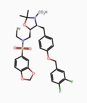 CC(C)CN(C[C@H]1OC(C)(C)N(C(=O)O)[C@H]1Cc1ccc(OCc2ccc(F)c(F)c2)cc1)S(=O)(=O)c1ccc2c(c1)OCO2